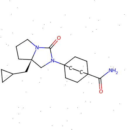 NC(=O)C12CCC(N3C[C@]4(CC5CC5)CCCN4C3=O)(CC1)CC2